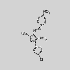 CC(C)(C)c1nn(-c2ccc(Cl)cc2)c(N)c1N=Nc1ccc([N+](=O)[O-])cc1